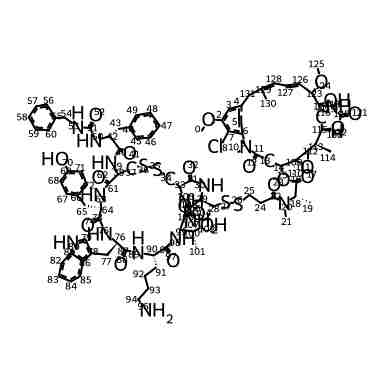 COc1cc2cc(c1Cl)N(C)C(=O)C[C@H](OC(=O)[C@H](C)N(C)C(=O)CCSSC[C@H](NC(=O)[C@@H]1CSSC[C@H](NC(=O)[C@@H](Cc3ccccc3)NC(=O)NCc3ccccc3)C(=O)N[C@@H](Cc3ccc(O)cc3)C(=O)N[C@H](Cc3c[nH]c4ccccc34)C(=O)N[C@@H](CCCCN)C(=O)N[C@@H]([C@@H](C)O)C(=O)N1)C(N)=O)[C@]1(C)OC1[C@H](C)[C@@H]1CC(O)(NC(=O)O1)[C@H](OC)/C=C/C=C(\C)C2